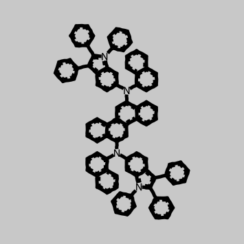 c1ccc(-c2c(-c3ccccc3)n(-c3ccccc3)c3cc(N(c4cccc5ccccc45)c4cc5c6ccccc6c(N(c6ccc7c(-c8ccccc8)c(-c8ccccc8)n(-c8ccccc8)c7c6)c6cccc7ccccc67)cc5c5ccccc45)ccc23)cc1